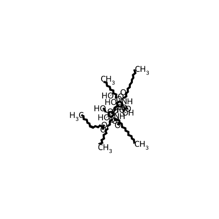 CCCCCC/C=C\CCCC(=O)O[C@H](CCCCCCCCC)CCO[C@H]1[C@H](O)[C@@H](CCO)O[C@@H](OCC2O[C@H](OP(=O)(O)O)[C@H](NC(=O)CC(=O)CCCCCCCCCCC)[C@@H](OCC[C@H](O)CCCCCCC)[C@@H]2O)[C@@H]1NC(=O)CC(=O)CCCCCCCCCCC